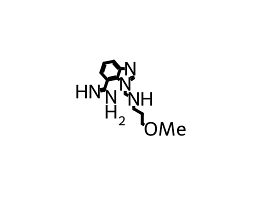 COCCCNCn1cnc2cccc(C(=N)N)c21